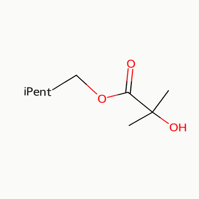 CCCC(C)COC(=O)C(C)(C)O